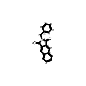 O=C1c2cc3ccccc3cc2C(=O)N1Cc1ccccc1